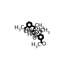 COc1ccc(C(C)=O)cc1S(=O)(=O)NC(=O)Nc1c(C(C)C)cccc1C(C)C